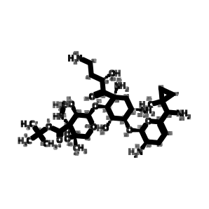 CN[C@]1(C(=O)OC(C)(C)C)[C@@H](O)[C@@H](O[C@@H]2[C@@H](O)[C@H](O[C@H]3OC(C(N)C4(C)CC4)=CC[C@H]3N)[C@@H](N)C[C@]2(N)C(=O)[C@@H](O)CCN)OC[C@]1(C)O